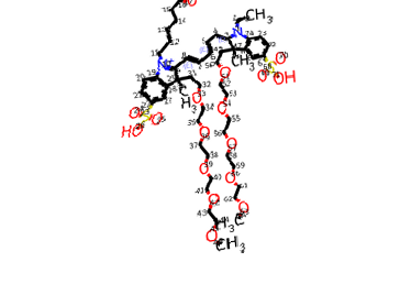 CCN1/C(=C/C=C/C=C/C2=[N+](CCCCCC(=O)O)c3ccc(S(=O)(=O)O)cc3C2(C)CCOCCOCCOCCOCCOC)C(C)(CCOCCOCCOCCOCCOC)c2cc(S(=O)(=O)O)ccc21